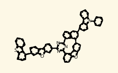 c1ccc(-c2nc(-c3ccc4c(c3)oc3cc(-c5cccc6sc7ccccc7c56)ccc34)nc(-c3cccc4oc5ccc(-c6cccc(-c7ccc8c(c7)c7ccccc7n8-c7ccccc7)c6)cc5c34)n2)cc1